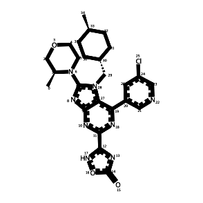 C[C@H]1COCCN1c1nc2nc(-c3nc(=O)o[nH]3)nc(-c3cncc(Cl)c3)c2n1C[C@H]1CC[C@H](C)CC1